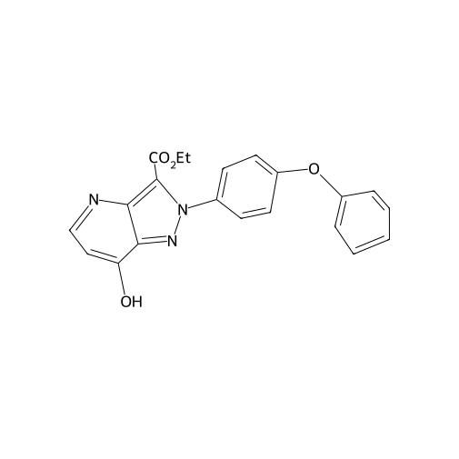 CCOC(=O)c1c2nccc(O)c2nn1-c1ccc(Oc2ccccc2)cc1